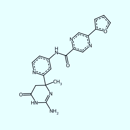 CC1(c2cc(NC(=O)c3cnc(-c4ccco4)cn3)ccn2)CC(=O)NC(N)=N1